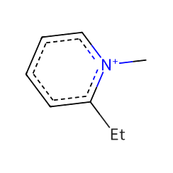 [CH2]Cc1cccc[n+]1C